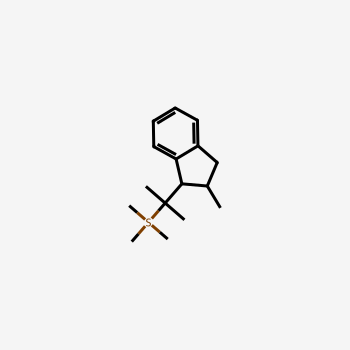 CC1Cc2ccccc2C1C(C)(C)S(C)(C)C